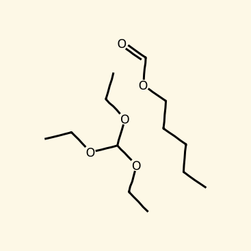 CCCCCOC=O.CCOC(OCC)OCC